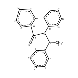 [CH2]C(c1ccncc1)C(C(=O)c1ccccc1)c1ccccc1